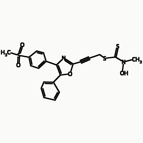 CN(O)C(=S)SCC#Cc1nc(-c2ccc(S(C)(=O)=O)cc2)c(-c2ccccc2)o1